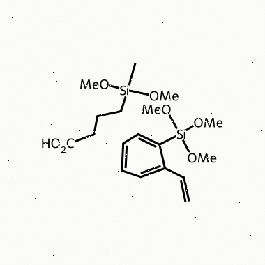 C=Cc1ccccc1[Si](OC)(OC)OC.CO[Si](C)(CCCC(=O)O)OC